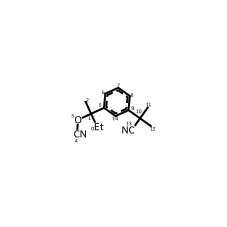 CCC(C)(OC#N)c1cccc(C(C)(C)C#N)c1